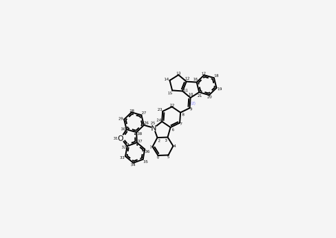 C1=CC2C(CC1)C1=CC(/C=C3\C4=C(CCC4)c4ccccc43)CC=C1N2c1cccc2oc3ccccc3c12